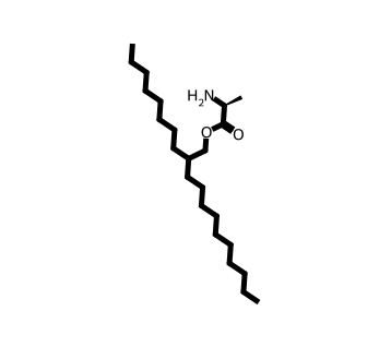 CCCCCCCCCCC(CCCCCCCC)COC(=O)[C@H](C)N